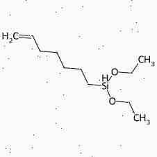 C=CCCCCC[SiH](OCC)OCC